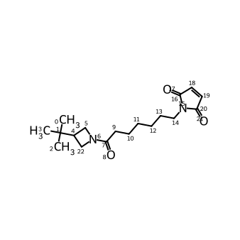 CC(C)(C)C1CN(C(=O)CCCCCCN2C(=O)C=CC2=O)C1